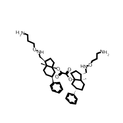 C[C@]12CC[C@H](c3ccccc3)C[C@@]1(OC(=O)C(=O)O[C@]13CC[C@H](CNOCCCN)[C@@]1(C)CC[C@H](c1ccccc1)C3)CC[C@@H]2CNOCCCN